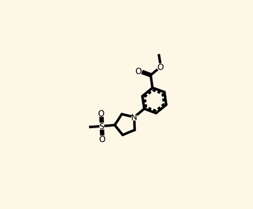 COC(=O)c1cccc(N2CCC(S(C)(=O)=O)C2)c1